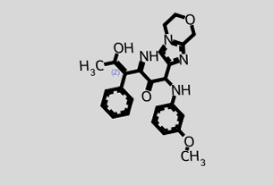 COc1cccc(NC(C(=O)C(=N)/C(=C(/C)O)c2ccccc2)c2cn3c(n2)COCC3)c1